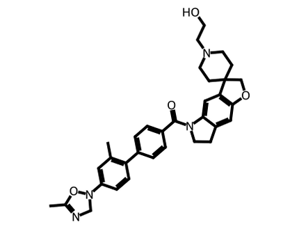 CC1=NCN(c2ccc(-c3ccc(C(=O)N4CCc5cc6c(cc54)C4(CCN(CCO)CC4)CO6)cc3)c(C)c2)O1